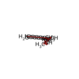 Cc1ccc(C(NCCCC[C@H](NCC(C)[C@@H](C=O)CCOCCOCCOCCOCCOCCOCCOCCOCCOCCC(N)=O)C(=O)Nc2ccc(CO)cc2)(c2ccccc2)c2ccccc2)cc1